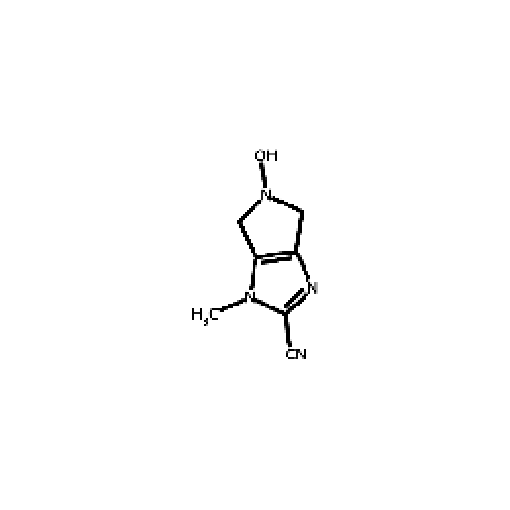 Cn1c(C#N)nc2c1CN(O)C2